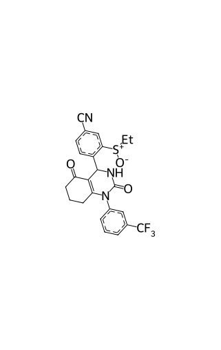 CC[S+]([O-])c1cc(C#N)ccc1C1NC(=O)N(c2cccc(C(F)(F)F)c2)C2=C1C(=O)CCC2